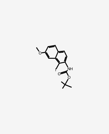 COc1ccc2ccc(NC(=O)OC(C)(C)C)c(I)c2c1